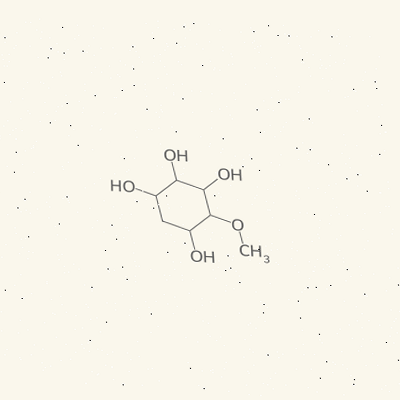 COC1C(O)CC(O)C(O)C1O